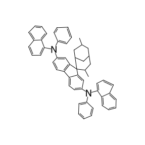 CC1CC2CC(C)C3(c4cc(N(c5ccccc5)c5cccc6ccccc56)ccc4-c4ccc(N(c5ccccc5)c5cccc6ccccc56)cc43)C(C1)C2